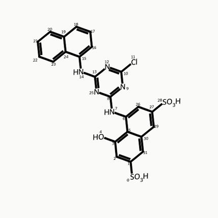 O=S(=O)(O)c1cc(O)c2c(Nc3nc(Cl)nc(Nc4cccc5ccccc45)n3)cc(S(=O)(=O)O)cc2c1